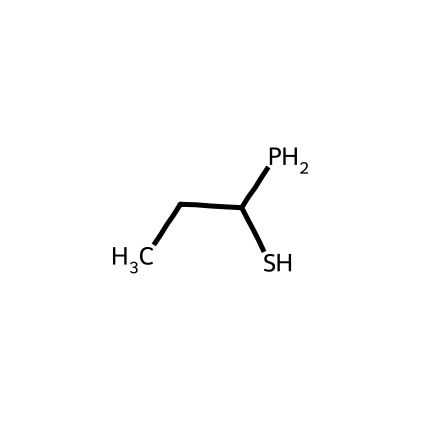 CCC(P)S